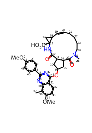 COc1ccc(-c2nc(OC3CC4C(=O)NC5(C(=O)O)CC5C=CCCCCN(C)C(=O)C4C3)c3ccc(OC)c(C)c3n2)cc1